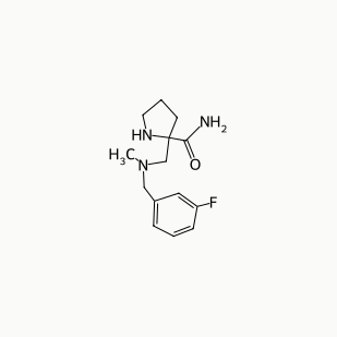 CN(Cc1cccc(F)c1)CC1(C(N)=O)CCCN1